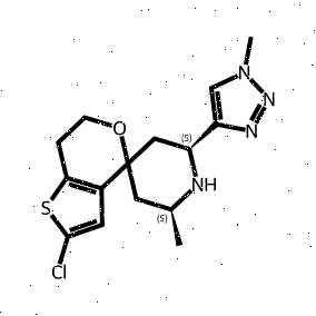 C[C@H]1CC2(C[C@@H](c3cn(C)nn3)N1)OCCc1sc(Cl)cc12